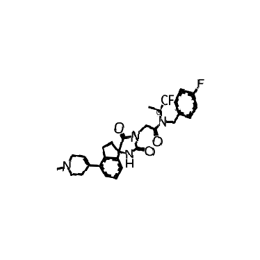 C[C@H](N(Cc1ccc(F)cc1)C(=O)CN1C(=O)NC2(CCc3c(C4=CCN(C)CC4)cccc32)C1=O)C(F)(F)F